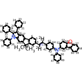 [2H]/C(=C(/[2H])c1ccc2c(c1)C(C)(C)c1cc3c(cc1-2)c(-c1ccccc1)c(-c1ccccc1)n3-c1ccccc1)c1ccc(N(c2ccccc2)c2ccc3oc4ccccc4c3c2)cc1